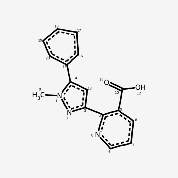 Cn1nc(-c2ncccc2C(=O)O)cc1-c1ccccc1